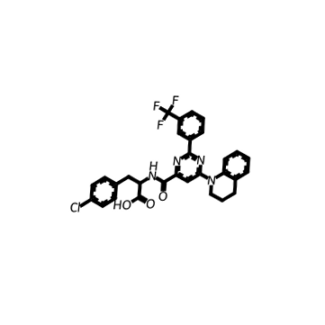 O=C(NC(Cc1ccc(Cl)cc1)C(=O)O)c1cc(N2CCCc3ccccc32)nc(-c2cccc(C(F)(F)F)c2)n1